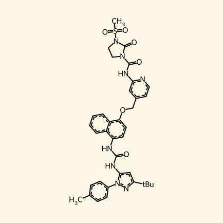 Cc1ccc(-n2nc(C(C)(C)C)cc2NC(=O)Nc2ccc(OCc3ccnc(NC(=O)N4CCN(S(C)(=O)=O)C4=O)c3)c3ccccc23)cc1